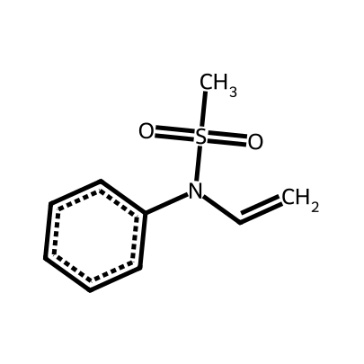 C=CN(c1ccccc1)S(C)(=O)=O